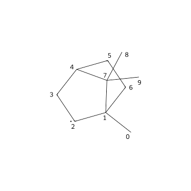 CC12[CH]CC(CC1)C2(C)C